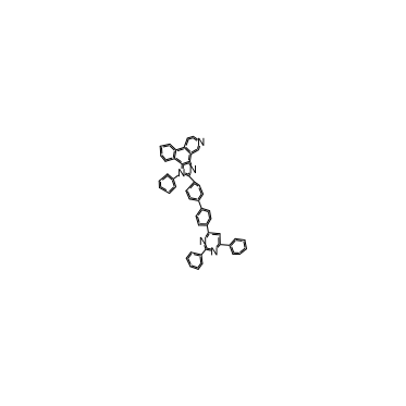 c1ccc(-c2cc(-c3ccc(-c4ccc(-c5nc6c7cnccc7c7ccccc7c6n5-c5ccccc5)cc4)cc3)nc(-c3ccccc3)n2)cc1